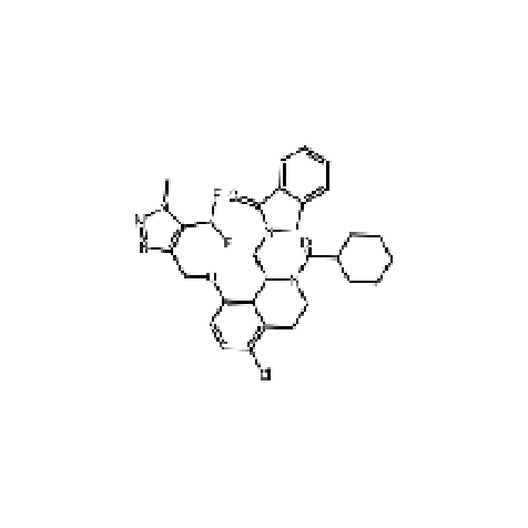 Cn1nnc(COc2ccc(Cl)c3c2[C@@H](CN2Cc4ccccc4C2=O)N(C(=O)C2CCCCC2)CC3)c1C(F)F